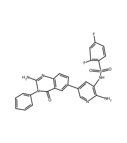 Nc1ncc(-c2ccc3nc(N)n(-c4ccccc4)c(=O)c3c2)cc1NS(=O)(=O)c1ccc(F)cc1F